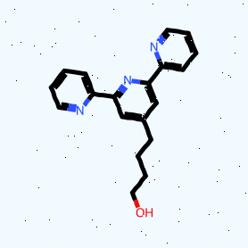 OCCCCc1cc(-c2ccccn2)nc(-c2ccccn2)c1